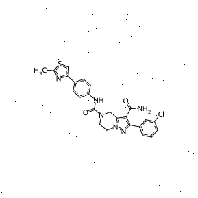 Cc1nc(-c2ccc(NC(=O)N3CCn4nc(-c5cccc(Cl)c5)c(C(N)=O)c4C3)cc2)cs1